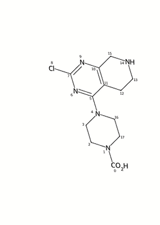 O=C(O)N1CCN(c2nc(Cl)nc3c2CCNC3)CC1